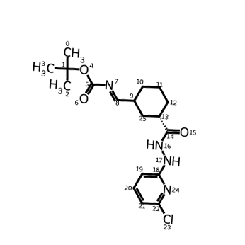 CC(C)(C)OC(=O)N=CC1CCC[C@H](C(=O)NNc2cccc(Cl)n2)C1